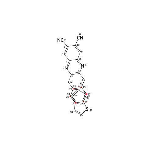 N#Cc1cc2nc3c(nc2cc1C#N)C1c2cc4sccc4cc2C3c2cc3ccsc3cc21